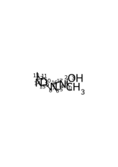 CC(CO)N1CCN(Cc2ccc(I)nc2)CC1